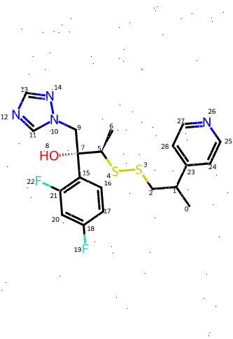 CC(CSS[C@H](C)[C@](O)(Cn1cncn1)c1ccc(F)cc1F)c1ccncc1